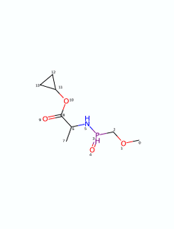 COC[PH](=O)NC(C)C(=O)OC1CC1